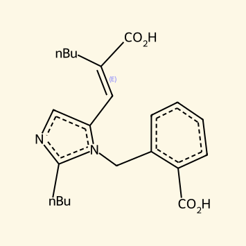 CCCC/C(=C\c1cnc(CCCC)n1Cc1ccccc1C(=O)O)C(=O)O